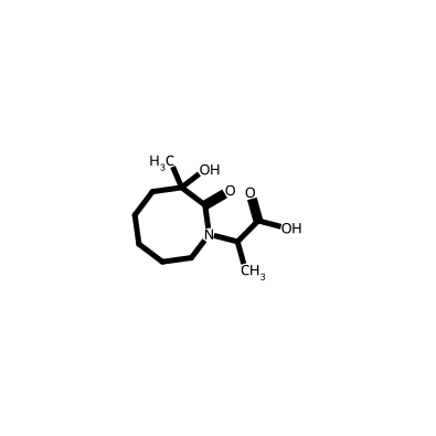 CC(C(=O)O)N1CCCCCC(C)(O)C1=O